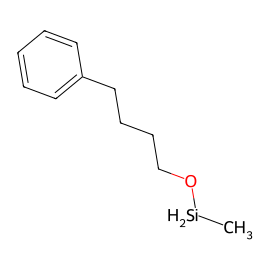 C[SiH2]OCCCCc1ccccc1